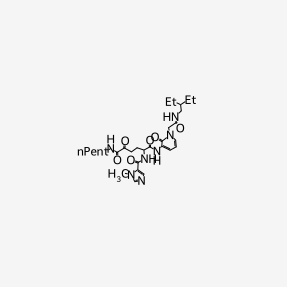 CCCCCNC(=O)C(=O)CCC(NC(=O)c1cncn1C)C(=O)Nc1cccn(CC(=O)NCC(CC)CC)c1=O